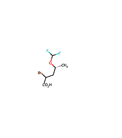 C[C@H](CC(Br)C(=O)O)OC(F)F